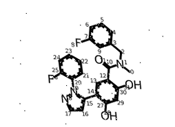 CN(Cc1cccc(F)c1)C(=O)c1cc(-c2ccnn2-c2ccccc2F)c(O)cc1O